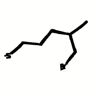 CC(CBr)CCC[S]